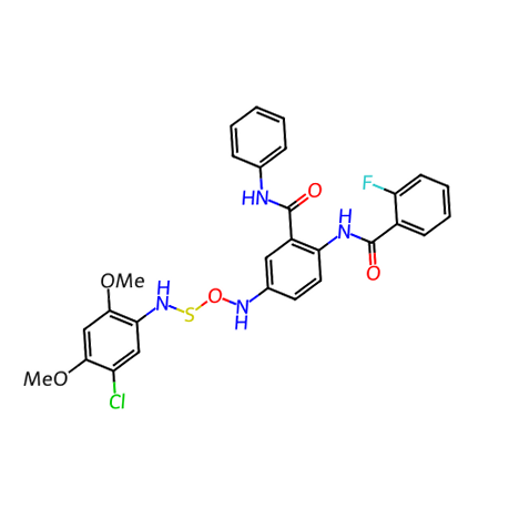 COc1cc(OC)c(NSONc2ccc(NC(=O)c3ccccc3F)c(C(=O)Nc3ccccc3)c2)cc1Cl